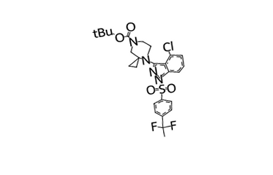 CC(C)(C)OC(=O)N1CCN(c2nn(S(=O)(=O)c3ccc(C(C)(F)F)cc3)c3cccc(Cl)c23)C2(CC2)C1